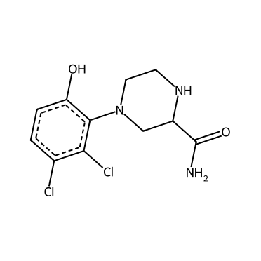 NC(=O)C1CN(c2c(O)ccc(Cl)c2Cl)CCN1